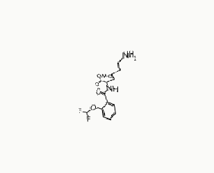 COC(=O)C(CCCCN)NC(=O)c1ccccc1OC(F)F